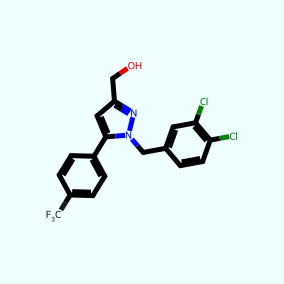 OCc1cc(-c2ccc(C(F)(F)F)cc2)n(Cc2ccc(Cl)c(Cl)c2)n1